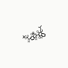 CCC1(CCC(C)C)C(=O)C(C2=NS(=O)(=O)c3cc(NC(=O)OC(C)(C)C)ccc3N2)=C(O)c2ccccc21